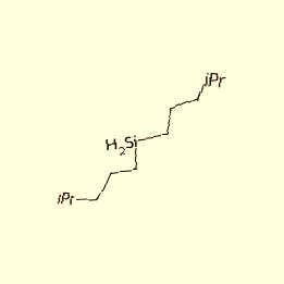 CC(C)CCC[SiH2]CCCC(C)C